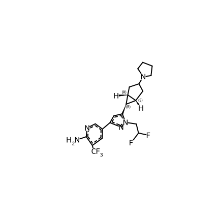 Nc1ncc(-c2cc([C@H]3[C@@H]4CC(N5CCCC5)C[C@@H]43)n(CC(F)F)n2)cc1C(F)(F)F